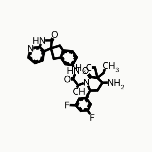 CCC1(CC)C(=O)N(C(C)C(=O)Nc2ccc3c(c2)CC2(C3)C(=O)Nc3ncccc32)C(c2cc(F)cc(F)c2)CC1N